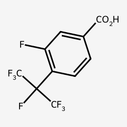 O=C(O)c1ccc(C(F)(C(F)(F)F)C(F)(F)F)c(F)c1